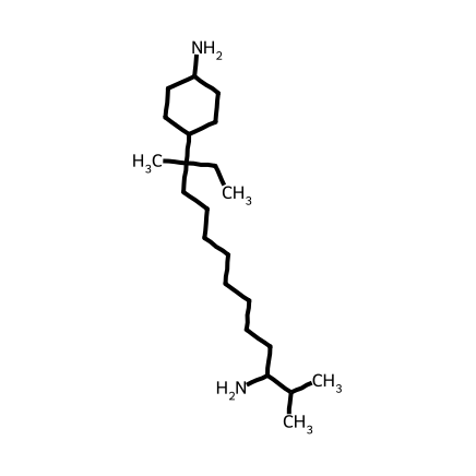 CCC(C)(CCCCCCCCC(N)C(C)C)C1CCC(N)CC1